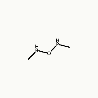 CBOPC